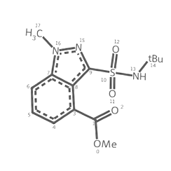 COC(=O)c1cccc2c1c(S(=O)(=O)NC(C)(C)C)nn2C